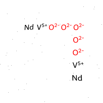 [Nd].[Nd].[O-2].[O-2].[O-2].[O-2].[O-2].[V+5].[V+5]